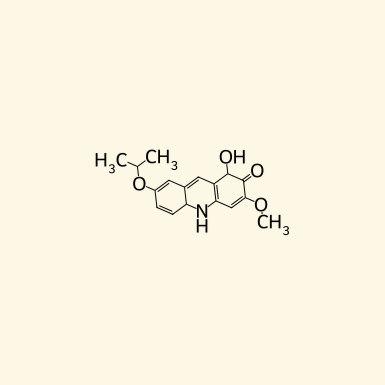 COC1=CC2=C(C=C3C=C(OC(C)C)C=CC3N2)C(O)C1=O